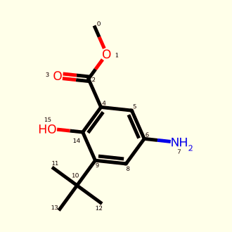 COC(=O)c1cc(N)cc(C(C)(C)C)c1O